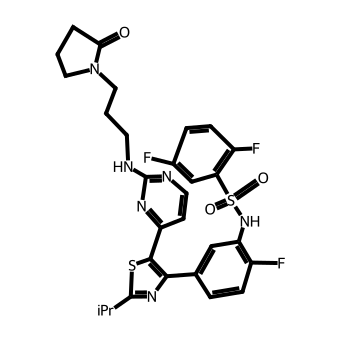 CC(C)c1nc(-c2ccc(F)c(NS(=O)(=O)c3cc(F)ccc3F)c2)c(-c2ccnc(NCCCN3CCCC3=O)n2)s1